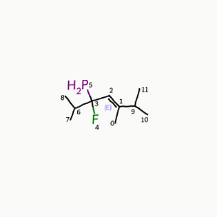 C/C(=C\C(F)(P)C(C)C)C(C)C